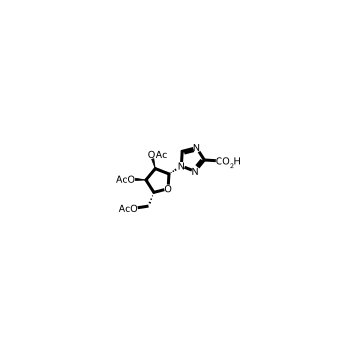 CC(=O)OC[C@H]1O[C@@H](n2cnc(C(=O)O)n2)[C@H](OC(C)=O)[C@@H]1OC(C)=O